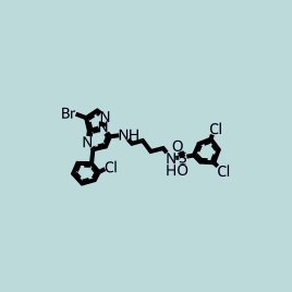 O=S(=O)(NCCCCNc1cc(-c2ccccc2Cl)nc2c(Br)cnn12)c1cc(Cl)cc(Cl)c1